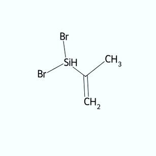 C=C(C)[SiH](Br)Br